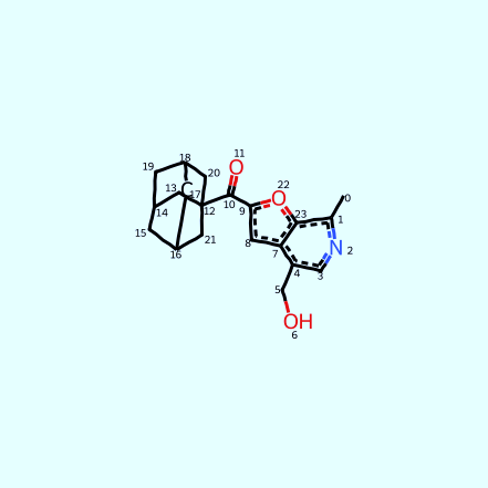 Cc1ncc(CO)c2cc(C(=O)C34CC5CC(CC(C5)C3)C4)oc12